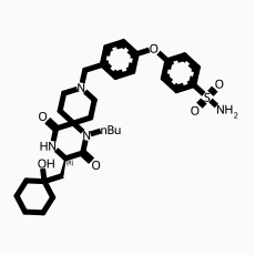 CCCCN1C(=O)[C@@H](CC2(O)CCCCC2)NC(=O)C12CCN(Cc1ccc(Oc3ccc(S(N)(=O)=O)cc3)cc1)CC2